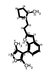 Cc1noc(C)c1-c1cccc2cc(CCN3CCC[C@H]3C)oc12